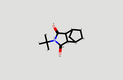 CC(C)(C)N1C(=O)C2C3CCC(C3)C2C1=O